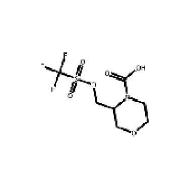 O=C(O)N1CCOCC1COS(=O)(=O)C(F)(F)F